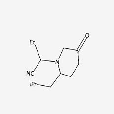 CCC(C#N)N1CC(=O)CCC1CC(C)C